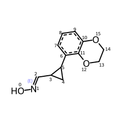 O/N=C/C1CC1c1cccc2c1OCCO2